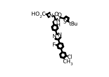 Cc1ccc(-c2ccc(-c3cnc(-c4ccc(C[C@H](NC(=O)c5ccc(C(C)(C)C)s5)C(=O)N5CC(C(=O)O)C5)cc4)nc3)c(F)c2)cc1Cl